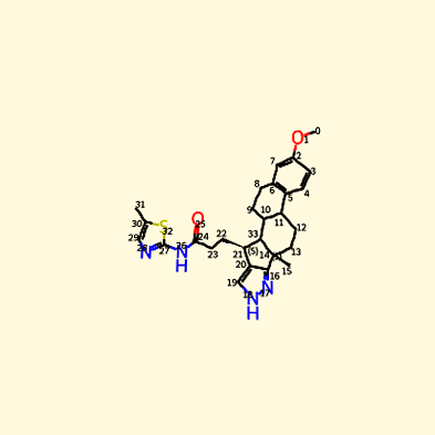 COc1ccc2c(c1)CCC1C2CC[C@]2(C)c3n[nH]cc3[C@@H](CCC(=O)Nc3ncc(C)s3)C12